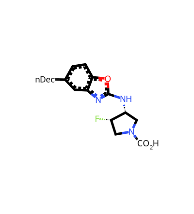 CCCCCCCCCCc1ccc2oc(N[C@@H]3CN(C(=O)O)C[C@@H]3F)nc2c1